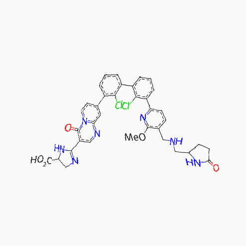 COc1nc(-c2cccc(-c3cccc(-c4ccn5c(=O)c(C6=NCC(C(=O)O)N6)cnc5c4)c3Cl)c2Cl)ccc1CNCC1CCC(=O)N1